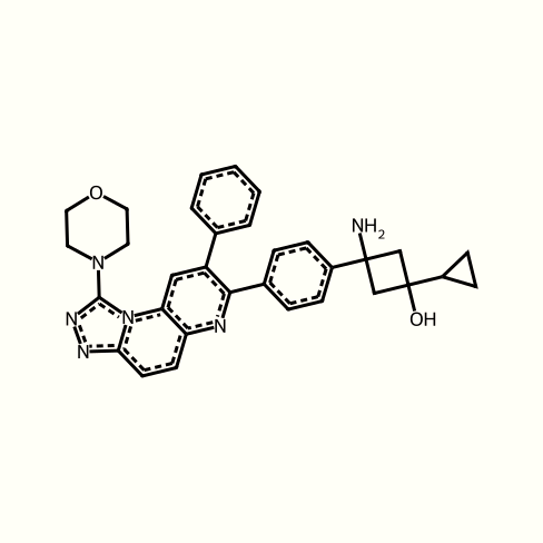 NC1(c2ccc(-c3nc4ccc5nnc(N6CCOCC6)n5c4cc3-c3ccccc3)cc2)CC(O)(C2CC2)C1